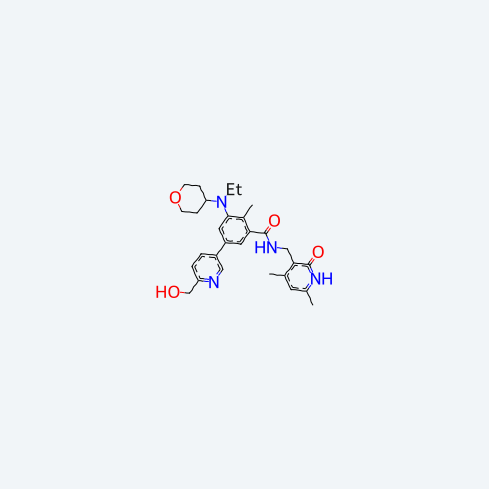 CCN(c1cc(-c2ccc(CO)nc2)cc(C(=O)NCc2c(C)cc(C)[nH]c2=O)c1C)C1CCOCC1